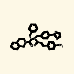 O=C([C@H](Cc1ccccc1)N(Cc1ccc(-c2nccs2)cc1)C(=O)/C=C/c1ccc(C(F)(F)F)cc1)N1CCc2ccccc2C1